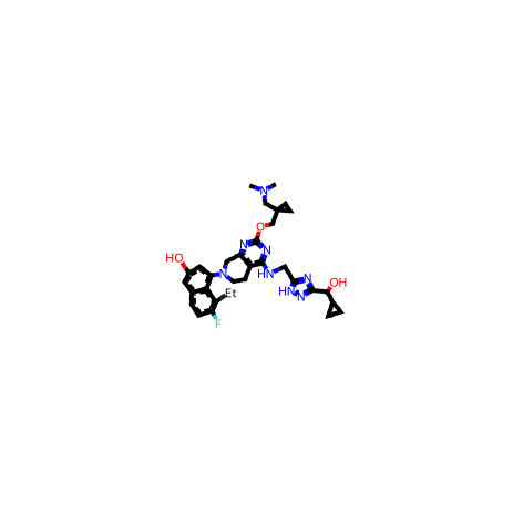 CCc1c(F)ccc2cc(O)cc(N3CCc4c(nc(OCC5(CN(C)C)CC5)nc4NCc4nc(C(O)C5CC5)n[nH]4)C3)c12